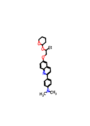 CCC(COc1ccc2nc(-c3ccc(N(C)C)cc3)ccc2c1)OC1CCCCO1